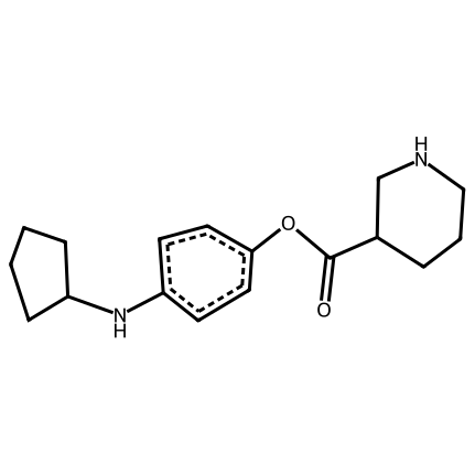 O=C(Oc1ccc(NC2CCCC2)cc1)C1CCCNC1